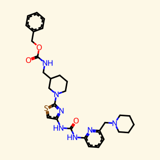 O=C(Nc1cccc(CN2CCCCC2)n1)Nc1csc(N2CCCC(CNC(=O)OCc3ccccc3)C2)n1